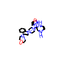 C1=CN(C2(N3CC[N+](CCN4CCOCC4)(c4ccccc4)CC3)CNCC[N]2)NO1